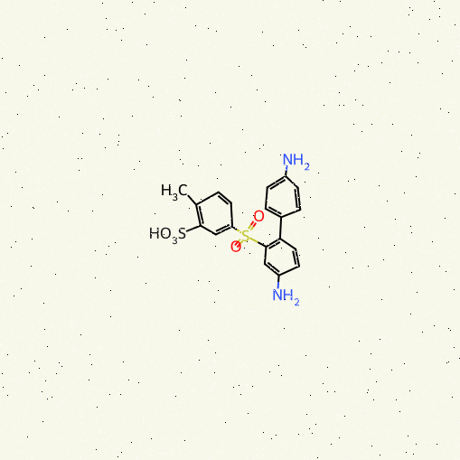 Cc1ccc(S(=O)(=O)c2cc(N)ccc2-c2ccc(N)cc2)cc1S(=O)(=O)O